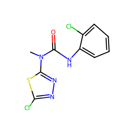 CN(C(=O)Nc1ccccc1Cl)c1nnc(Cl)s1